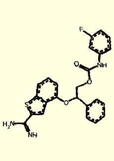 N=C(N)c1cc2c(OC(COC(=O)Nc3cccc(F)c3)c3ccccc3)cccc2s1